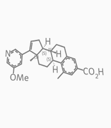 COc1cncc(C2=CC[C@H]3[C@@H]4CCc5cc(C(=O)O)cc(C)c5[C@H]4CC[C@]23C)c1